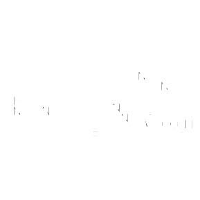 CC1=NCC([C@@H](CC(=O)O)n2cc(F)c(CCCc3ccc4c(n3)NCCC4)n2)C=N1